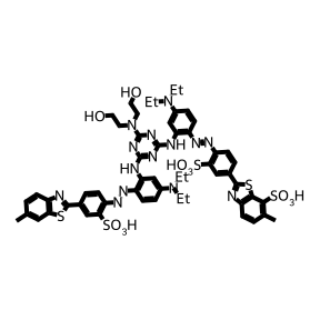 CCN(CC)c1ccc(/N=N/c2ccc(-c3nc4ccc(C)cc4s3)cc2S(=O)(=O)O)c(Nc2nc(Nc3cc(N(CC)CC)ccc3/N=N/c3ccc(-c4nc5ccc(C)c(S(=O)(=O)O)c5s4)cc3S(=O)(=O)O)nc(N(CCO)CCO)n2)c1